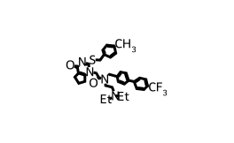 CCN(CC)CCN(Cc1ccc(-c2ccc(C(F)(F)F)cc2)cc1)C(=O)Cn1c(SCc2ccc(C)cc2)nc(=O)c2c1CCC2